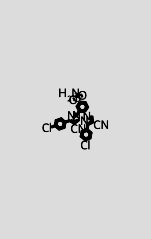 N#Cc1cn(-c2ccc(S(N)(=O)=O)cc2-n2cc(C#N)c(-c3ccc(Cl)cc3)n2)nc1-c1ccc(Cl)cc1